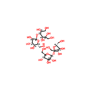 OC[C@@H](O)[C@@H](O[C@H]1O[C@H](CO)[C@@H](O)[C@H](O)[C@H]1O)[C@H](O)[C@@H](O)CO.OC[C@H]1O[C@@](CO)(O[C@H]2O[C@H](CO)[C@@H](O)[C@H](O)[C@H]2O)[C@@H](O)[C@@H]1O